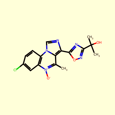 Cc1c2c(-c3nc(C(C)(C)O)no3)ncn2c2ccc(Cl)cc2[n+]1[O-]